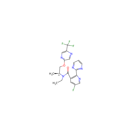 CCN(C(=O)c1cc(F)cnc1-c1ncccn1)[C@@H](C)COc1cnc(C(F)(F)F)cn1